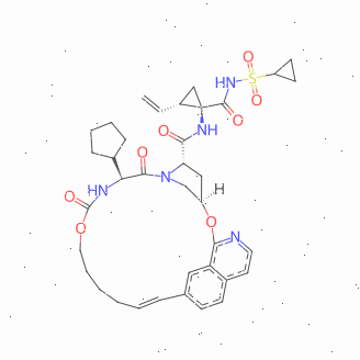 C=C[C@@H]1C[C@]1(NC(=O)[C@@H]1C[C@@H]2CN1C(=O)[C@H](C1CCCC1)NC(=O)OCCCC/C=C/c1ccc3ccnc(c3c1)O2)C(=O)NS(=O)(=O)C1CC1